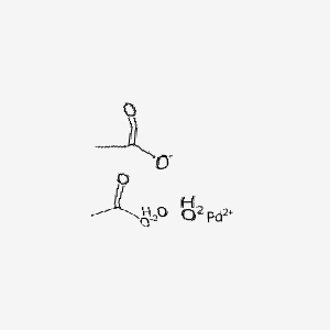 CC(=O)[O-].CC(=O)[O-].O.O.[Pd+2]